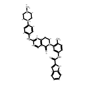 Cc1ccc(NC(=O)c2cc3ccccc3s2)cc1N1CCc2nc(Nc3ccc(N4CCN(C)CC4)cc3)ncc2C1=O